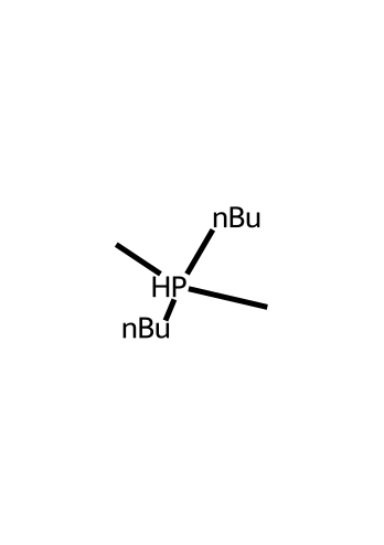 CCCC[PH](C)(C)CCCC